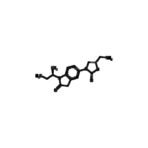 CC[C@@H](C)N1C(=O)Cc2cc(N3CC(CN)OC3=O)ccc21